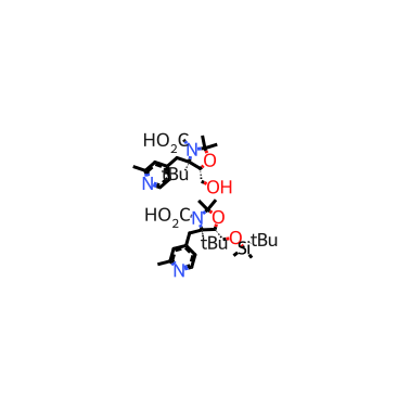 Cc1cc(C[C@]2(C(C)(C)C)[C@@H](CO)OC(C)(C)N2C(=O)O)ccn1.Cc1cc(C[C@]2(C(C)(C)C)[C@@H](CO[Si](C)(C)C(C)(C)C)OC(C)(C)N2C(=O)O)ccn1